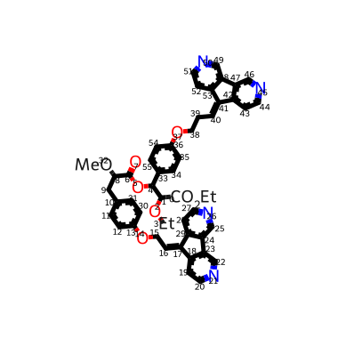 CCOC(=O)C(OCC)C(OC(=O)C(Cc1ccc(OCC=C2c3ccncc3-c3cnccc32)cc1)OC)c1ccc(OCCC=C2c3ccncc3-c3cnccc32)cc1